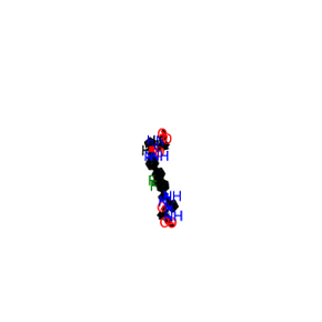 COC(=O)N[C@H](C(=O)N1CCC[C@H]1c1ncc(-c2ccc3c(c2)C(F)(F)c2cc(-c4ccc5nc([C@@H]6[C@H]7CC[C@H](C7)N6C(=O)[C@@H](NC(=O)OC)C(C)C)[nH]c5c4)ccc2-3)[nH]1)C(C)C